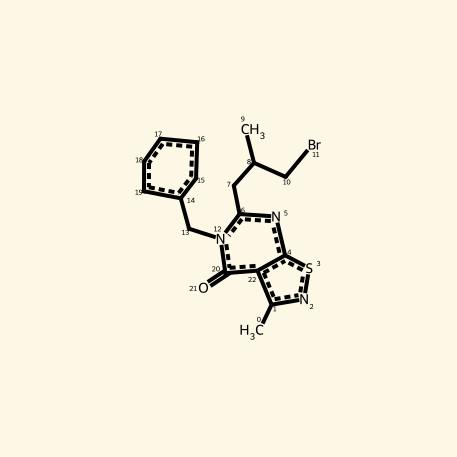 Cc1nsc2nc(CC(C)CBr)n(Cc3ccccc3)c(=O)c12